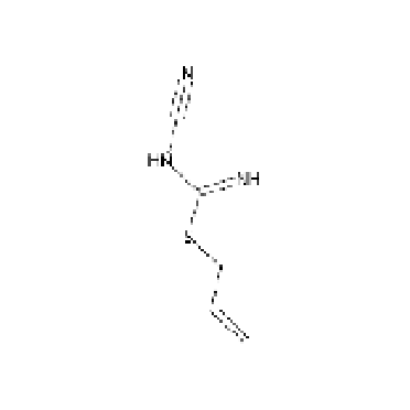 C=CCSC(=N)NC#N